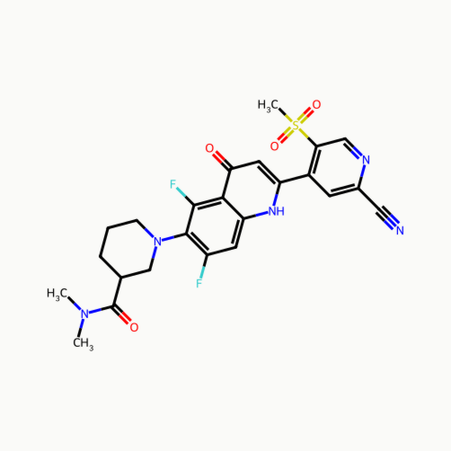 CN(C)C(=O)C1CCCN(c2c(F)cc3[nH]c(-c4cc(C#N)ncc4S(C)(=O)=O)cc(=O)c3c2F)C1